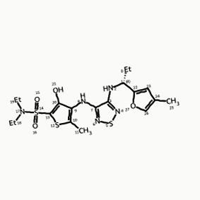 CC[C@@H](Nc1nsnc1Nc1c(C)sc(S(=O)(=O)N(CC)CC)c1O)c1cc(C)co1